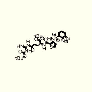 CC(C)(C)OC(=O)NC(=N)NC(=O)CC[C@H](NC(=O)c1sccc1NS(=O)(=O)c1cccc2nsnc12)C(=O)OC(C)(C)C